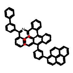 c1ccc(-c2cccc(-c3nc(-c4ccccc4-c4c5ccccc5c(-c5cccc(-c6ccc7ccc8cccc9ccc6c7c89)c5)c5ccccc45)nc4ccccc34)c2)cc1